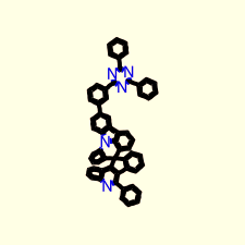 c1ccc(-c2nc(-c3ccccc3)nc(-c3cccc(-c4ccc5c(c4)c4cccc6c4n5-c4ccccc4C64c5ccccc5-c5c(-c6ccccc6)nc6ccccc6c54)c3)n2)cc1